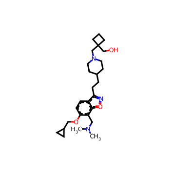 CN(C)Cc1c(OCC2CC2)ccc2c(CCC3CCN(CC4(CO)CCC4)CC3)noc12